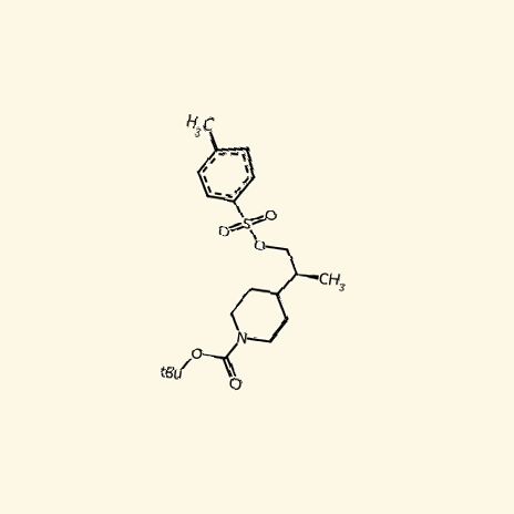 Cc1ccc(S(=O)(=O)OC[C@@H](C)C2CCN(C(=O)OC(C)(C)C)CC2)cc1